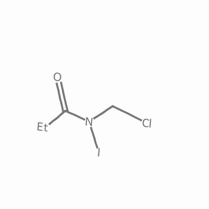 CCC(=O)N(I)CCl